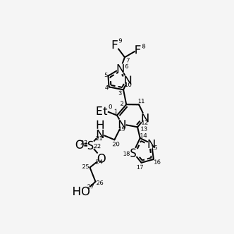 CCC1=C(c2ccn(C(F)F)n2)CN=C(c2nccs2)N1CNS(=O)OCCO